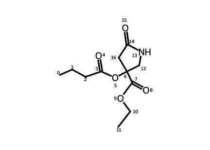 CCCC(=O)OC1(C(=O)OCC)CNC(=O)C1